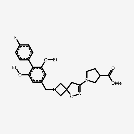 CCOc1cc(CN2CC3(CC(N4CCC(C(=O)OC)C4)=NO3)C2)cc(OCC)c1-c1ccc(F)cc1